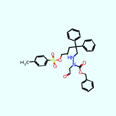 Cc1ccc(S(=O)(=O)OCCCC(CNN(CC=O)C(=O)OCc2ccccc2)(c2ccccc2)c2ccccc2)cc1